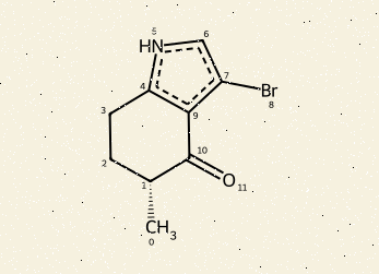 C[C@@H]1CCc2[nH]cc(Br)c2C1=O